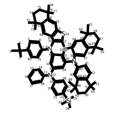 CC(C)(C)c1ccc(N2c3cc(N(c4ccccc4)c4ccc([Si](C)(C)C)cc4)cc4c3B(c3cc5c(cc3N4c3ccc4c(c3)C(C)(C)CCC4(C)C)C(C)(C)CCC5(C)C)c3sc4cc5c(cc4c32)C(C)(C)CCC5(C)C)cc1